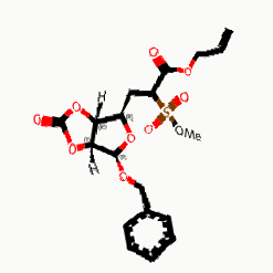 C=CCOC(=O)C(C[C@H]1O[C@@H](OCc2ccccc2)[C@@H]2OC(=O)O[C@@H]21)S(=O)(=O)OC